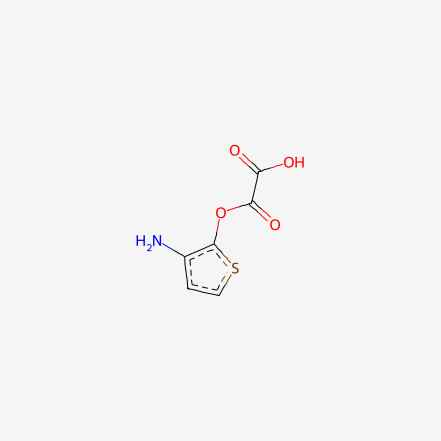 Nc1ccsc1OC(=O)C(=O)O